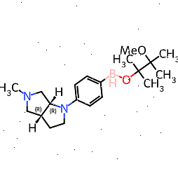 COC(C)(C)C(C)(C)OBc1ccc(N2CC[C@@H]3CN(C)C[C@@H]32)cc1